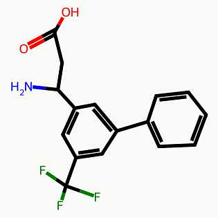 NC(CC(=O)O)c1cc(-c2ccccc2)cc(C(F)(F)F)c1